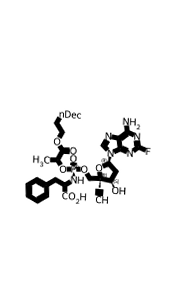 C#C[C@]1(CO[P@](=O)(NC(Cc2ccccc2)C(=O)O)OC(C)C(=O)OCCCCCCCCCCCC)O[C@@H](n2cnc3c(N)nc(F)nc32)C[C@@H]1O